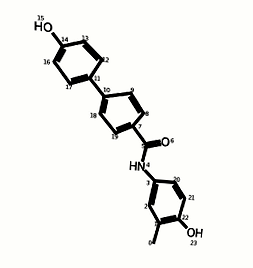 Cc1cc(NC(=O)c2ccc(-c3ccc(O)cc3)cc2)ccc1O